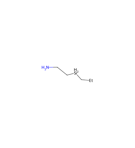 CCC[SiH2]CCN